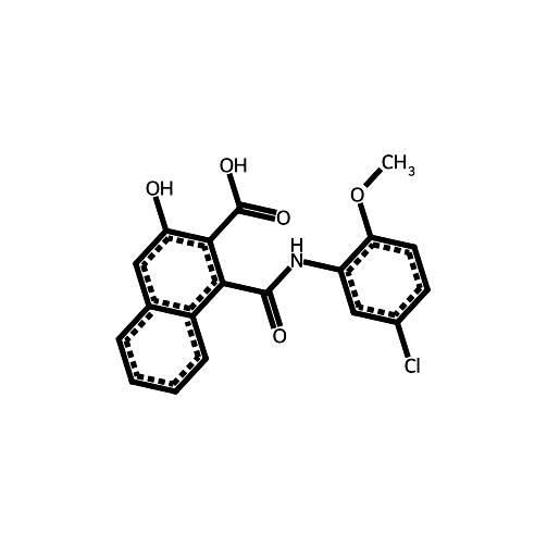 COc1ccc(Cl)cc1NC(=O)c1c(C(=O)O)c(O)cc2ccccc12